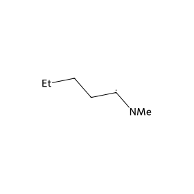 CCCC[CH]NC